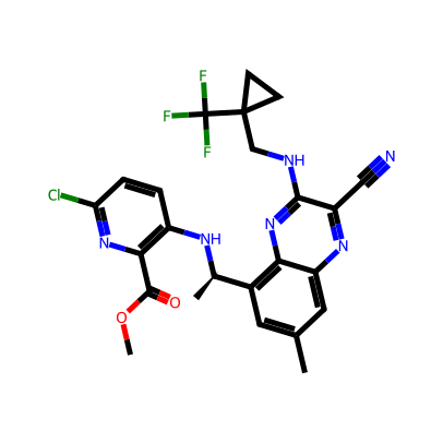 COC(=O)c1nc(Cl)ccc1N[C@H](C)c1cc(C)cc2nc(C#N)c(NCC3(C(F)(F)F)CC3)nc12